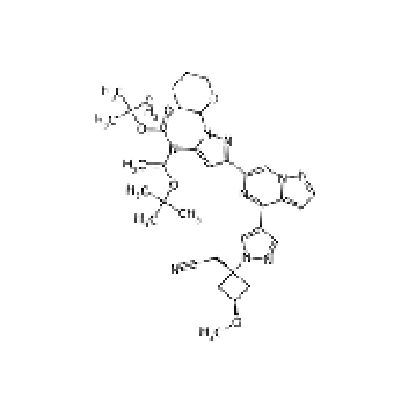 C=C(OC(C)(C)C)N(C(=O)OC(C)(C)C)c1cc(-c2cn3nccc3c(-c3cnn([C@]4(CC#N)C[C@@H](OC)C4)c3)n2)nn1C1CCCCO1